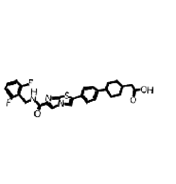 O=C(O)CC1CCC(c2ccc(-c3cn4cc(C(=O)NCc5c(F)cccc5F)nc4s3)cc2)CC1